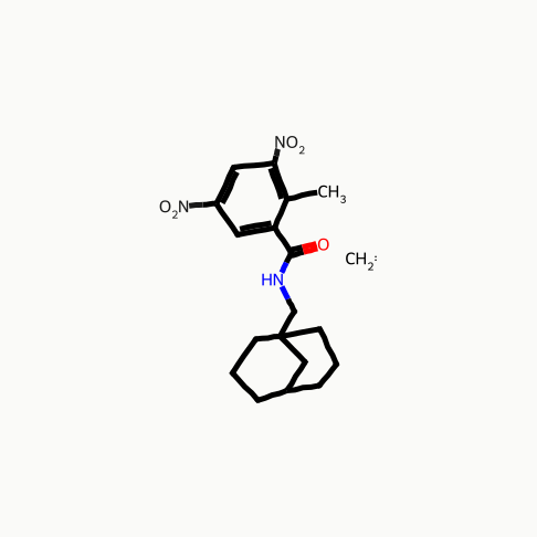 Cc1c(C(=O)NCC23CCCC(CCC2)C3)cc([N+](=O)[O-])cc1[N+](=O)[O-].[CH2]